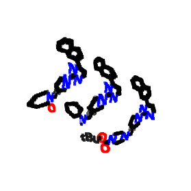 CC(C)(C)OC(=O)N1CCN(C[C@H]2CCN(c3nccc(-c4ccc5ccccc5c4)n3)C2)CC1.CN(C[C@H]1CCN(c2nccc(-c3ccc4ccccc4c3)n2)C1)C1CCCCC1.O=C1CCCCN1C[C@H]1CCN(c2nccc(-c3ccc4ccccc4c3)n2)C1